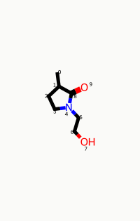 CC1CCN(CCO)C1=O